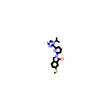 CSc1ccc2c(c1)C(=O)N(c1cccc(-c3nncn3C(C)C)n1)C2